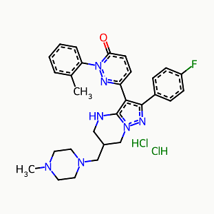 Cc1ccccc1-n1nc(-c2c(-c3ccc(F)cc3)nn3c2NCC(CN2CCN(C)CC2)C3)ccc1=O.Cl.Cl